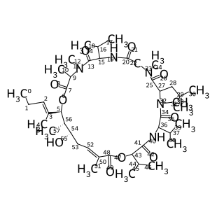 CC/C=C(\C)[C@H]1OC(=O)C(C)N(C)C(=O)C(C(C)C)NC(=O)CN(C)C(=O)C(CC(C)C)N(C)C(=O)C(C(C)C)NC(=O)C(C(C)C)OC(=O)/C(C)=C/C[C@H](O)[C@@H]1C